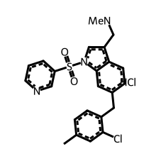 CNCc1cn(S(=O)(=O)c2cccnc2)c2cc(Cc3ccc(C)cc3Cl)ccc12.Cl